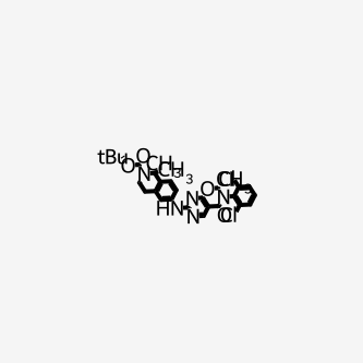 CC1Oc2nc(Nc3ccc4c(c3)CCN(C(=O)OC(C)(C)C)C4(C)C)ncc2C(=O)N1c1c(Cl)cccc1Cl